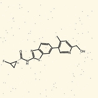 Cc1cc(CO)ncc1-c1ccc2nc(NC(=O)[C@@H]3CC3F)sc2c1